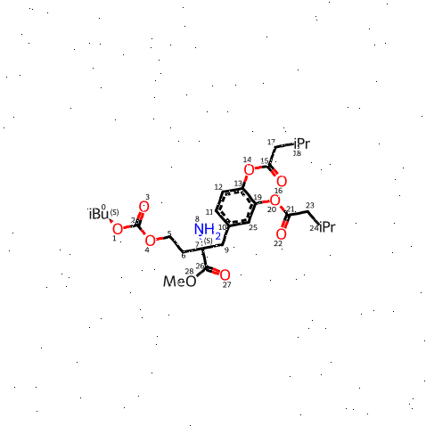 CC[C@H](C)OC(=O)OCC[C@@](N)(Cc1ccc(OC(=O)CC(C)C)c(OC(=O)CC(C)C)c1)C(=O)OC